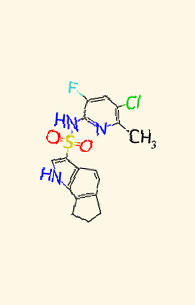 Cc1nc(NS(=O)(=O)c2c[nH]c3c4c(ccc23)CCC4)c(F)cc1Cl